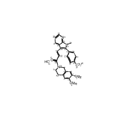 COc1cc2c(cc1OC)CN(C(=O)C=Cc1c(-c3ccc(C(=O)O)cc3)n(C)c3ncccc13)CC2.Cl